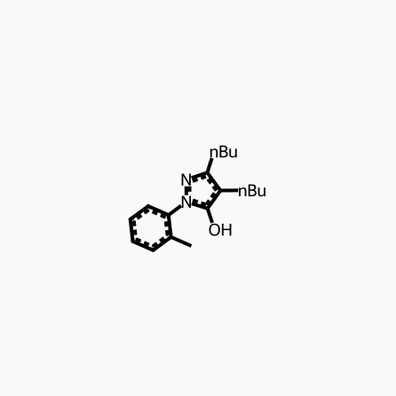 CCCCc1nn(-c2ccccc2C)c(O)c1CCCC